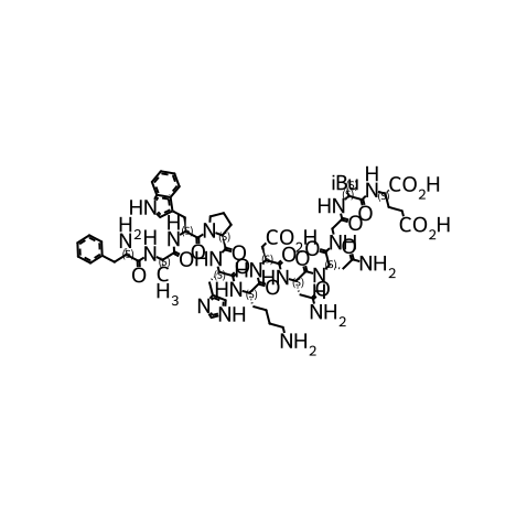 CC[C@H](C)[C@H](NC(=O)CNC(=O)[C@H](CC(N)=O)NC(=O)[C@H](CC(N)=O)NC(=O)[C@H](CC(=O)O)NC(=O)[C@H](CCCCN)NC(=O)[C@H](Cc1c[nH]cn1)NC(=O)[C@@H]1CCCN1C(=O)[C@H](Cc1c[nH]c2ccccc12)NC(=O)[C@H](C)NC(=O)[C@@H](N)Cc1ccccc1)C(=O)N[C@@H](CCC(=O)O)C(=O)O